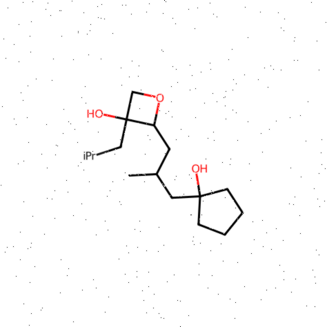 CC(C)CC1(O)COC1CC(C)CC1(O)CCCC1